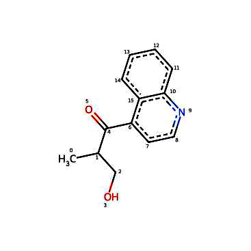 CC(CO)C(=O)c1ccnc2ccccc12